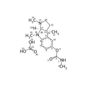 CNC(=O)Oc1ccc2c(c1)[C@]1(C)CCN(C)[C@@H]1N2C.O=[Si](O)O